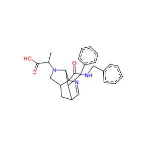 CC(C(=O)O)N1CC2CC3C=NC2(C(=O)NCc2ccccc2)C1C3Cc1ccccc1